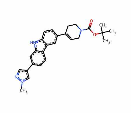 Cn1cc(-c2ccc3c(c2)[nH]c2ccc(C4=CCN(C(=O)OC(C)(C)C)CC4)cc23)cn1